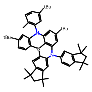 Cc1ccc(C(C)(C)C)cc1N1c2cc(C(C)(C)C)ccc2B2c3cc4c(cc3N(c3ccc5c(c3)C(C)(C)CC5(C)C)c3cc(C(C)(C)C)cc1c32)C(C)(C)CC4(C)C